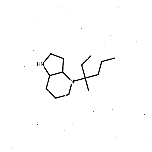 CCCC(C)(CC)N1CCCC2NCCC21